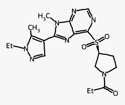 CCC(=O)N1CC[C@H](S(=O)(=O)c2ncnc3c2nc(-c2cnn(CC)c2C)n3C)C1